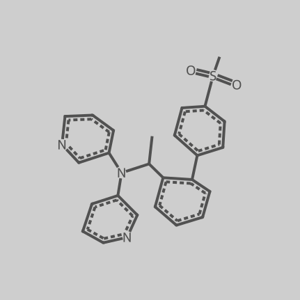 CC(c1ccccc1-c1ccc(S(C)(=O)=O)cc1)N(c1cccnc1)c1cccnc1